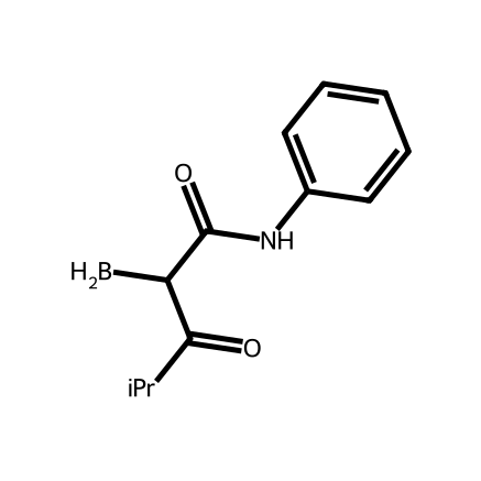 BC(C(=O)Nc1ccccc1)C(=O)C(C)C